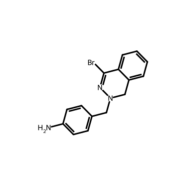 Nc1ccc(CN2Cc3ccccc3C(Br)=N2)cc1